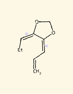 C=C/C=C1/OCO/C1=C/CC